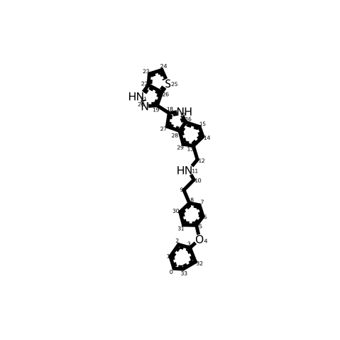 c1ccc(Oc2ccc(CCNCc3ccc4[nH]c(-c5n[nH]c6ccsc56)cc4c3)cc2)cc1